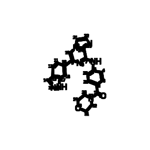 O=C(c1ccc(Nc2nc(-c3ccc4cn[nH]c4c3)cn3ccnc23)cc1)N1CCOCC1